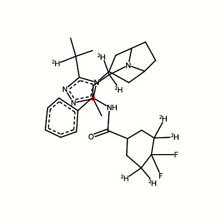 [2H]C(C)(C)c1nnc(C)n1C1CC2CCC(C1)N2C([2H])([2H])CC(NC(=O)C1CC([2H])([2H])C(F)(F)C([2H])([2H])C1)c1ccccc1